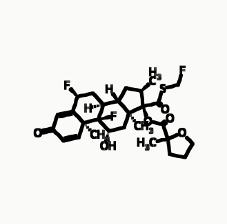 C[C@@H]1C[C@H]2[C@@H]3C[C@H](F)C4=CC(=O)C=C[C@]4(C)[C@@]3(F)[C@@H](O)C[C@]2(C)[C@@]1(OC(=O)C1(C)CCCO1)C(=O)SCF